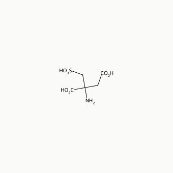 NC(CC(=O)O)(CS(=O)(=O)O)C(=O)O